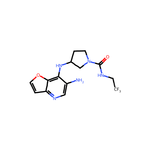 Nc1cnc2ccoc2c1NC1CCN(C(=O)NCC(F)(F)F)C1